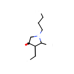 CCCCN1CC(=O)C(CC)C1C